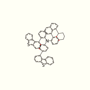 c1ccc(N(c2ccc(-c3cccc4sc5ccccc5c34)cc2)c2ccccc2-c2cccc3sc4ccccc4c23)c(-c2cccc3cccc(C4CCCCC4)c23)c1